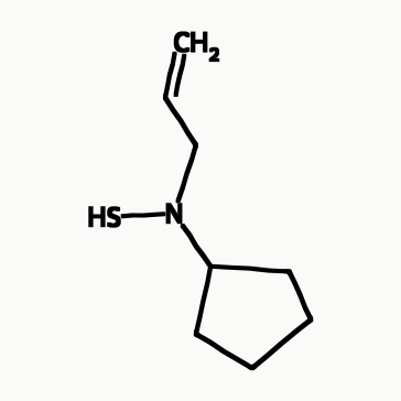 C=CCN(S)C1CCCC1